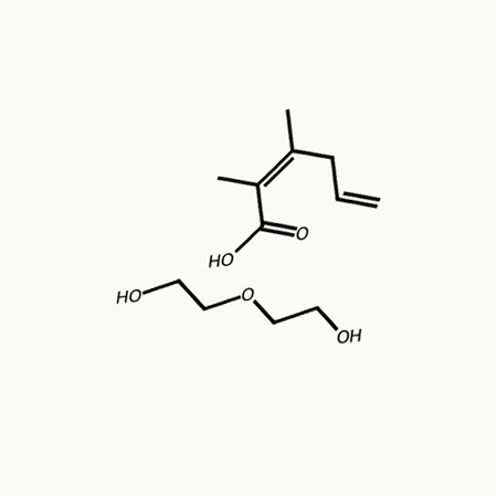 C=CCC(C)=C(C)C(=O)O.OCCOCCO